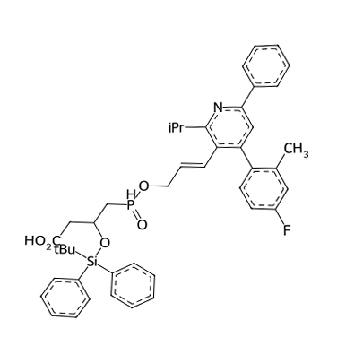 Cc1cc(F)ccc1-c1cc(-c2ccccc2)nc(C(C)C)c1C=CCO[PH](=O)CC(CC(=O)O)O[Si](c1ccccc1)(c1ccccc1)C(C)(C)C